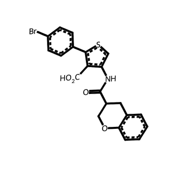 O=C(O)c1c(NC(=O)C2COc3ccccc3C2)csc1-c1ccc(Br)cc1